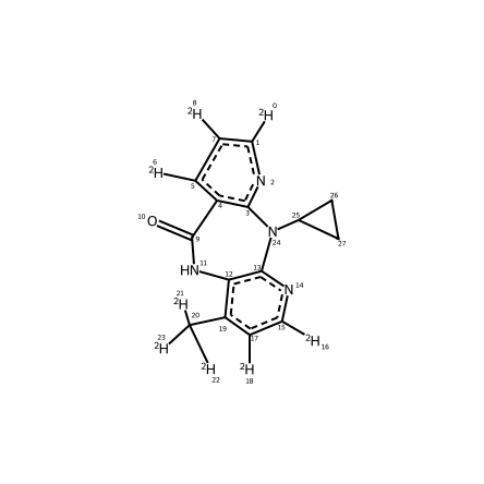 [2H]c1nc2c(c([2H])c1[2H])C(=O)Nc1c(nc([2H])c([2H])c1C([2H])([2H])[2H])N2C1CC1